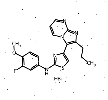 Br.CCCc1nc2ncccn2c1-c1csc(Nc2ccc(OC)c(F)c2)n1